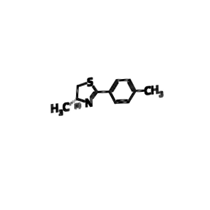 Cc1ccc(C2=N[C@H](C)CS2)cc1